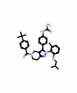 Cc1cccc(OCC(C)C)c1-n1nc2c(c1-c1ccc(NC(N)=O)cc1)CN(C(=O)c1ccc(C(C)(C)C)cc1)CC2